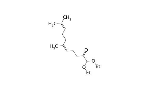 CCOC(OCC)C(=O)CC/C=C(/C)CCC=C(C)C